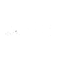 CC1=CCC2C3CC=C4C[C@@H](O[Si](C)(C)C(C)(C)C)CC[C@]4(C)C3CC[C@]12C